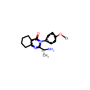 CCOc1ccc(-n2c([C@@H](C)N)nc3c(c2=O)CCCC3)cc1